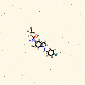 Cc1cc2c(ccn2Cc2ccc(F)cc2)cc1NC(=O)CC(C)(C)C